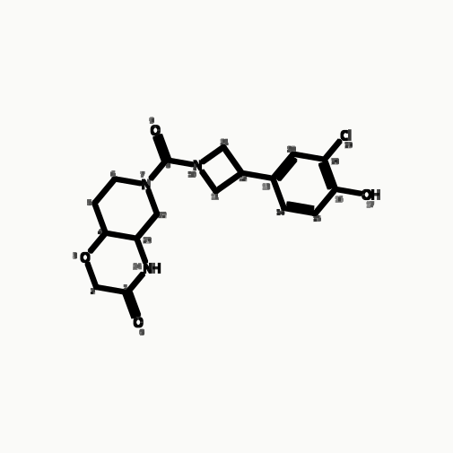 O=C1COC2CCN(C(=O)N3CC(c4ccc(O)c(Cl)c4)C3)CC2N1